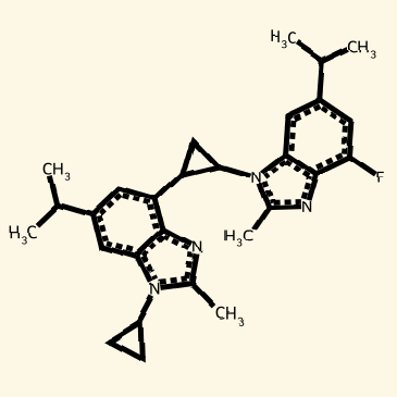 Cc1nc2c(C3CC3n3c(C)nc4c(F)cc(C(C)C)cc43)cc(C(C)C)cc2n1C1CC1